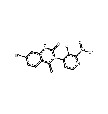 O=c1[nH]c2cc(Br)ccc2c(=O)n1-c1ccnc([N+](=O)[O-])c1Cl